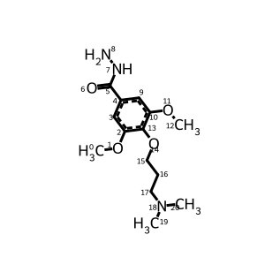 COc1cc(C(=O)NN)cc(OC)c1OCCCN(C)C